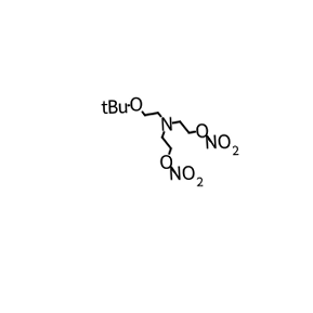 CC(C)(C)OCCN(CCO[N+](=O)[O-])CCO[N+](=O)[O-]